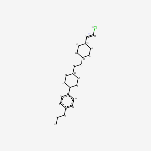 CCCc1ccc(C2CCC(CC[C@H]3CC[C@H](/C=C/Cl)CC3)CC2)cc1